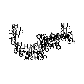 CC(C)C[C@H](NC(=O)[C@H](CC(C)C)NC(=O)[C@H](CCCCN)NC(=O)[C@H](Cc1c[nH]c2ccccc12)NC(=O)[C@H](CC(C)C)NC(=O)[C@H](CC(=O)O)NC(=O)[C@H](CO)NC(=O)[C@H](Cc1ccccc1)NC(=O)[C@@H](NC(=O)[C@H](CCC(=O)O)NC(=O)[C@H](CCC(N)=O)NC(=O)[C@H](CO)NC(=O)[C@H](CC(C)C)NC(=O)[C@@H]1CCCN1C(=O)[C@@H]1CCCN1C(=O)CNC(=O)CNC(=O)CNC(=O)[C@@H](N)CS)[C@@H](C)O)C(=O)O